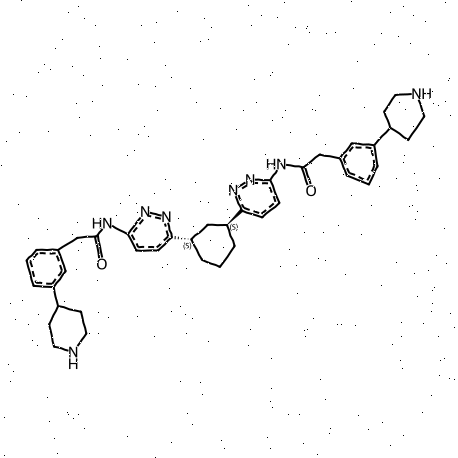 O=C(Cc1cccc(C2CCNCC2)c1)Nc1ccc([C@H]2CCC[C@H](c3ccc(NC(=O)Cc4cccc(C5CCNCC5)c4)nn3)C2)nn1